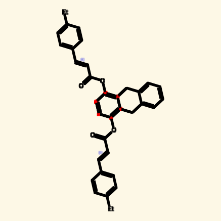 CCc1ccc(/C=C/C(=O)Oc2ccc(OC(=O)/C=C/c3ccc(CC)cc3)c3c2C2c4ccccc4C3c3ccccc32)cc1